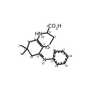 CC1(C)CC2=C(SCC(C(=O)O)N2)/C(=N\c2ccccc2)C1